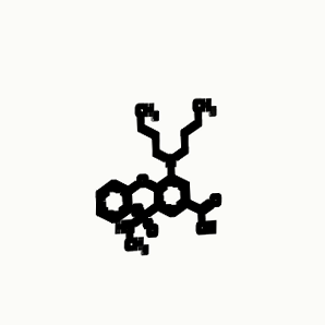 CCCCN(CCCC)c1cc(C(=O)O)cc(S(=O)(=O)NC)c1Oc1ccccc1